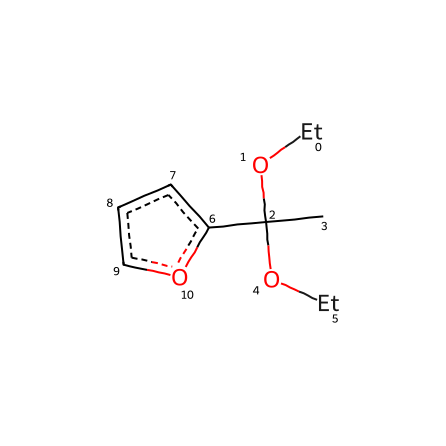 CCOC(C)(OCC)c1ccco1